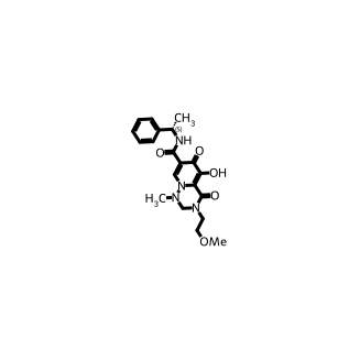 COCCN1CN(C)n2cc(C(=O)N[C@@H](C)c3ccccc3)c(=O)c(O)c2C1=O